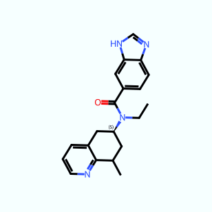 CCN(C(=O)c1ccc2nc[nH]c2c1)[C@@H]1Cc2cccnc2C(C)C1